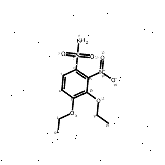 CCOc1ccc(S(N)(=O)=O)c([N+](=O)[O-])c1OCC